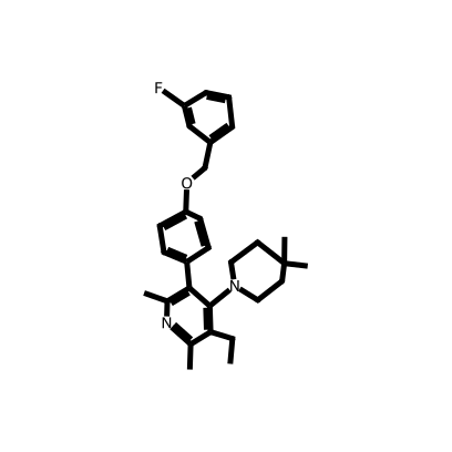 CCc1c(C)nc(C)c(-c2ccc(OCc3cccc(F)c3)cc2)c1N1CCC(C)(C)CC1